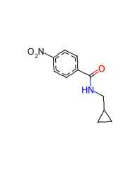 O=C(NCC1CC1)c1ccc([N+](=O)[O-])cc1